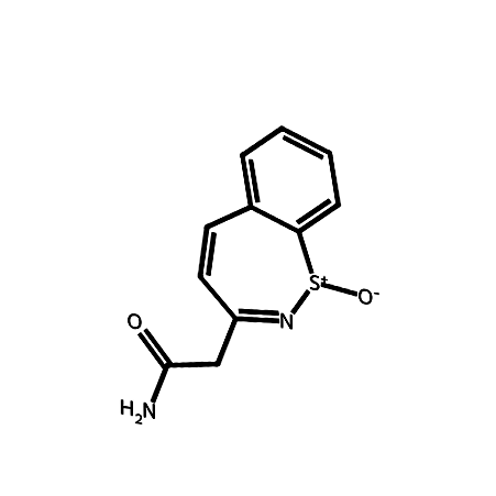 NC(=O)CC1=N[S+]([O-])c2ccccc2C=C1